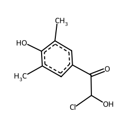 Cc1cc(C(=O)C(O)Cl)cc(C)c1O